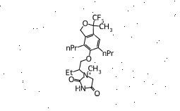 CCCc1cc2c(c(CCC)c1OCC(CC)[N+]1(C)CC(=O)NC1=O)COC2(C)C(F)(F)F